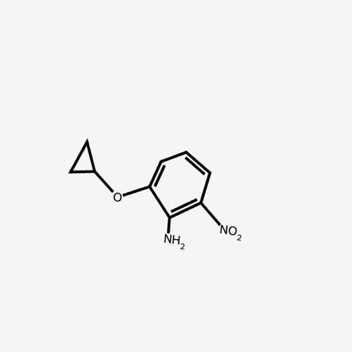 Nc1c(OC2CC2)cccc1[N+](=O)[O-]